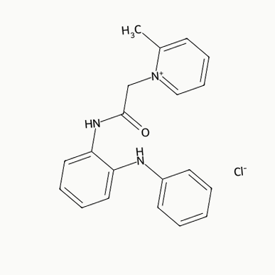 Cc1cccc[n+]1CC(=O)Nc1ccccc1Nc1ccccc1.[Cl-]